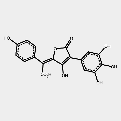 O=C1O/C(=C(/C(=O)O)c2ccc(O)cc2)C(O)=C1c1cc(O)c(O)c(O)c1